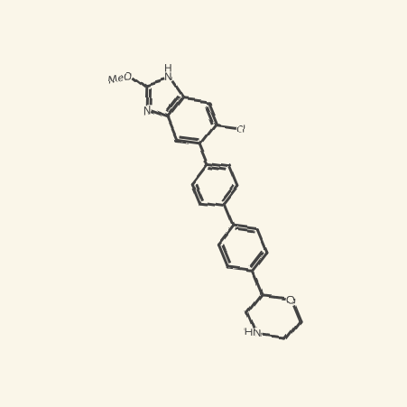 COc1nc2cc(-c3ccc(-c4ccc(C5CNCCO5)cc4)cc3)c(Cl)cc2[nH]1